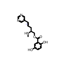 CNC(C/C=C/c1cncnc1)COC(=O)c1cc(O)ccc1O